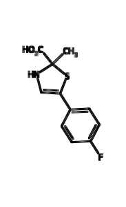 CC1(C(=O)O)NC=C(c2ccc(F)cc2)S1